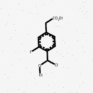 CCOC(=O)Cc1ccc(C(Cl)OCC)c(F)c1